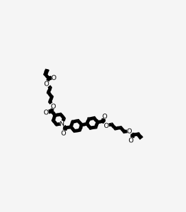 C=CC(=O)OCCCCOC(=O)C1CCC(C2CCC(C(=O)N3CCC(C(=O)OCCCCOC(=O)C=C)CC3)CC2)CC1